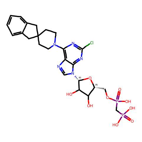 O=P(O)(O)CP(=O)(O)OC[C@H]1O[C@@H](n2cnc3c(N4CCC5(CC4)Cc4ccccc4C5)nc(Cl)nc32)C(O)C1O